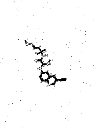 C#Cc1cnc2ccc(OC(SC)C(=O)NC(C)(C)CC=NOC)cc2c1